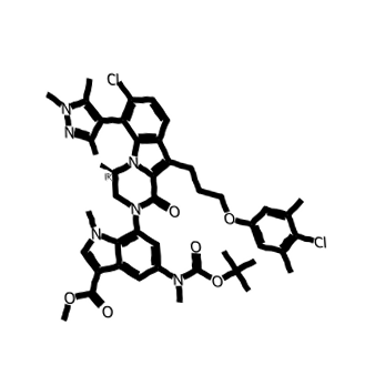 COC(=O)c1cn(C)c2c(N3C[C@@H](C)n4c(c(CCCOc5cc(C)c(Cl)c(C)c5)c5ccc(Cl)c(-c6c(C)nn(C)c6C)c54)C3=O)cc(N(C)C(=O)OC(C)(C)C)cc12